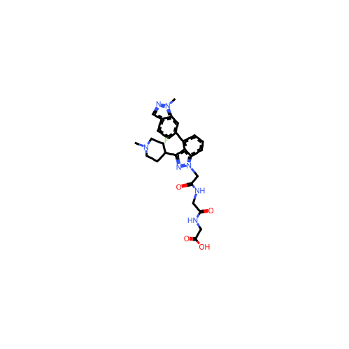 CN1CCC(c2nn(CC(=O)NCC(=O)NCC(=O)O)c3cccc(-c4cc5c(cnn5C)cc4F)c23)CC1